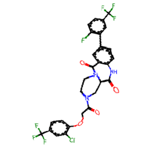 O=C1Nc2ccc(-c3cc(C(F)(F)F)ccc3F)cc2C(=O)N2CCN(C(=O)COc3ccc(C(F)(F)F)cc3Cl)CC12